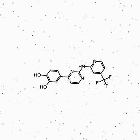 Oc1ccc(-c2ccnc(Nc3cc(C(F)(F)F)ccn3)n2)cc1O